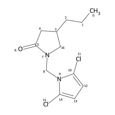 CCCC1CC(=O)N(Cn2c(Cl)ccc2Cl)C1